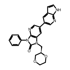 O=c1n(C[C@@H]2COCCO2)c2cc(-c3cnc4[nH]ccc4c3)cnc2n1-c1ccccc1